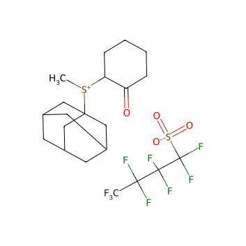 C[S+](C1CCCCC1=O)C12CC3CC(CC(C3)C1)C2.O=S(=O)([O-])C(F)(F)C(F)(F)C(F)(F)C(F)(F)F